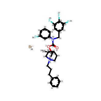 O=C(O[C@H]1C[N+]2(CCCc3ccccc3)CCC1CC2)N(Cc1cc(F)c(F)c(F)c1)c1cccc(F)c1.[Br-]